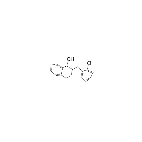 OC1c2ccccc2CCC1Cc1ccccc1Cl